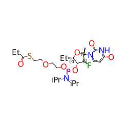 CCC(=O)SCCOCCOP(OC1[C@@H](CC)O[C@](C)(n2ccc(=O)[nH]c2=O)[C@H]1F)N(C(C)C)C(C)C